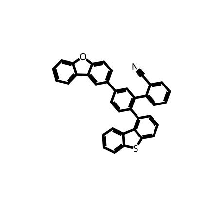 N#Cc1ccccc1-c1cc(-c2ccc3oc4ccccc4c3c2)ccc1-c1cccc2sc3ccccc3c12